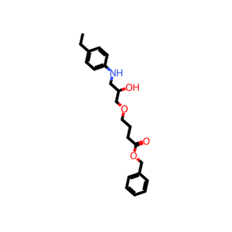 CCc1ccc(NCC(O)COCCCC(=O)OCc2ccccc2)cc1